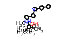 Cn1c(-c2cc(C(C)(C)C)cc(C(C)(C)C)c2O)nc2c(-c3cccc(-c4cc(-c5ccc(-c6ccccc6)cc5)ccn4)c3)cccc21